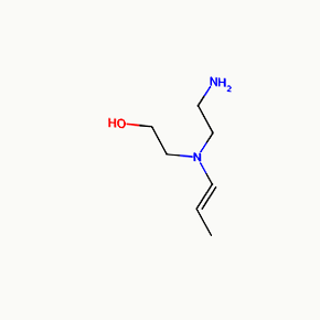 C/C=C/N(CCN)CCO